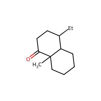 CCC1CCC(=O)C2(C)CCCCC12